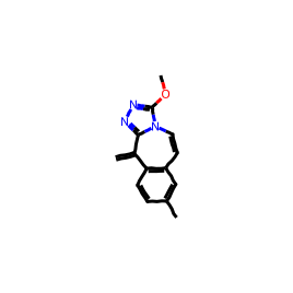 C=C1c2ccc(C)cc2C=Cn2c(OC)nnc21